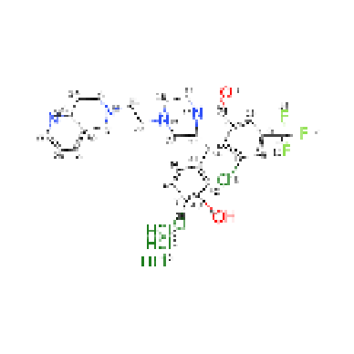 Cl.Cl.Cl.O=C(c1cc(Cl)cc(C(F)(F)F)c1)N1CCN(CCN2CCc3ncccc3C2)C[C@H]1Cc1ccc(Cl)c(O)c1